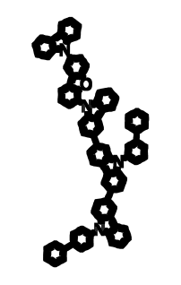 c1ccc(-c2ccc(-n3c4ccccc4c4cc(-c5ccc6c(c5)c5ccc(-c7ccc8c(c7)c7ccccc7n8-c7cccc8c7oc7ccc(-n9c%10ccccc%10c%10ccccc%109)cc78)cc5n6-c5cccc(-c6ccccc6)c5)ccc43)cc2)cc1